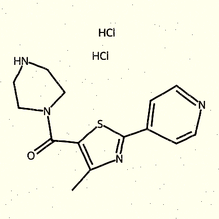 Cc1nc(-c2ccncc2)sc1C(=O)N1CCNCC1.Cl.Cl